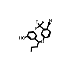 CCCC(Oc1ccc(C#N)c(C(F)(F)F)c1)c1cccc(O)c1